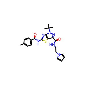 Cc1ccc(C(=O)Nc2nc3c(s2)c(C(=O)NCCn2cccc2)nn3C(C)(C)C)cc1